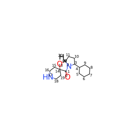 O=C1N2C(C3CCCCC3)CC[C@H]2OC12CCNCC2